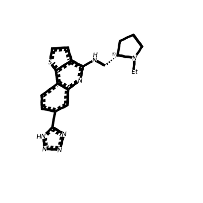 CCN1CCC[C@H]1CNc1nc2cc(-c3nnn[nH]3)ccc2c2sccc12